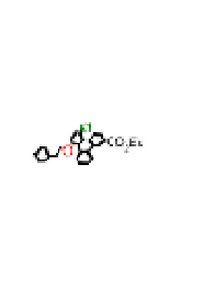 CCOC(=O)c1cccc(-c2ccccc2-c2cc(Cl)ccc2OCCc2ccccc2)c1